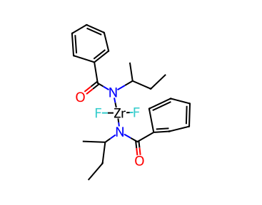 CCC(C)[N](C(=O)c1ccccc1)[Zr]([F])([F])[N](C(=O)c1ccccc1)C(C)CC